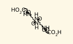 O=C(O)/C=C\C(=O)ONCCCCC1NC(=O)C(CCCCNOC(=O)/C=C\C(=O)O)NC1=O